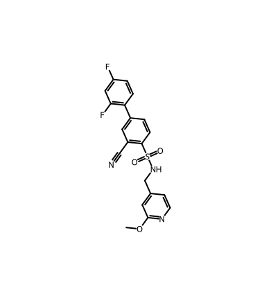 COc1cc(CNS(=O)(=O)c2ccc(-c3ccc(F)cc3F)cc2C#N)ccn1